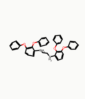 c1ccc(Oc2cccc([SiH2]CC[SiH2]c3cccc(Oc4ccccc4)c3Oc3ccccc3)c2Oc2ccccc2)cc1